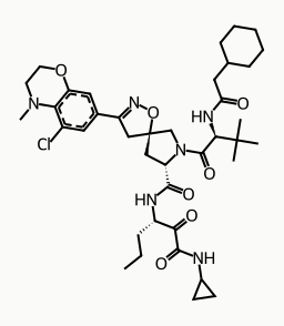 CCC[C@H](NC(=O)[C@@H]1C[C@]2(CC(c3cc(Cl)c4c(c3)OCCN4C)=NO2)CN1C(=O)[C@@H](NC(=O)CC1CCCCC1)C(C)(C)C)C(=O)C(=O)NC1CC1